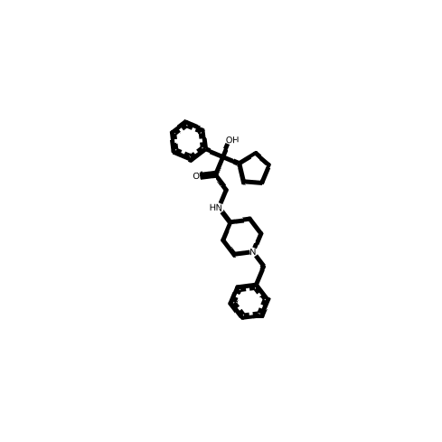 O=C(CNC1CCN(Cc2ccccc2)CC1)C(O)(c1ccccc1)C1CCCC1